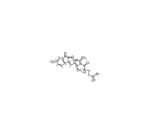 CCN(CC)CCNC(=O)c1c(C)[nH]c(/C=C2\C(=O)Nc3cc(Cl)ccc32)c1C